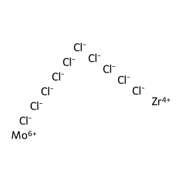 [Cl-].[Cl-].[Cl-].[Cl-].[Cl-].[Cl-].[Cl-].[Cl-].[Cl-].[Cl-].[Mo+6].[Zr+4]